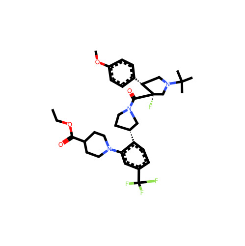 CCOC(=O)C1CCN(c2cc(C(F)(F)F)ccc2[C@@H]2CCN(C(=O)[C@]3(F)CN(C(C)(C)C)C[C@H]3c3ccc(OC)cc3)C2)CC1